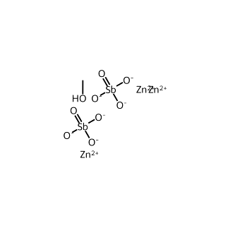 CO.[O]=[Sb]([O-])([O-])[O-].[O]=[Sb]([O-])([O-])[O-].[Zn+2].[Zn+2].[Zn+2]